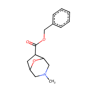 CN1CC2CC(C(=O)OCc3ccccc3)C(C1)O2